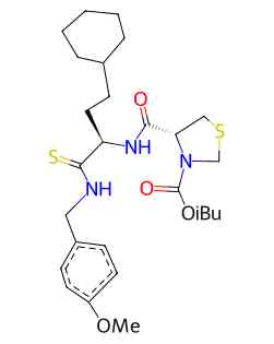 COc1ccc(CNC(=S)[C@@H](CCC2CCCCC2)NC(=O)[C@@H]2CSCN2C(=O)OCC(C)C)cc1